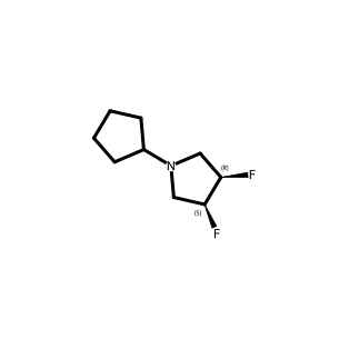 F[C@@H]1CN(C2CCCC2)C[C@@H]1F